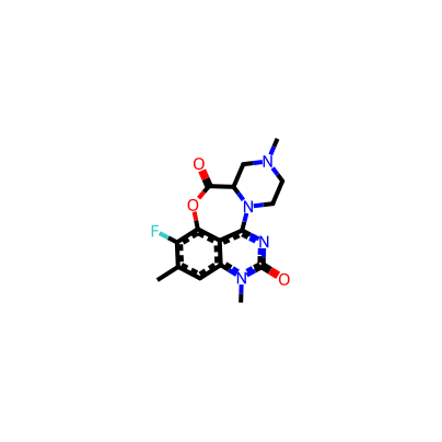 Cc1cc2c3c(nc(=O)n2C)N2CCN(C)CC2C(=O)Oc3c1F